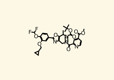 COC(=O)c1ccnc(C(=O)NCc2nc(-c3ccc(OC(F)F)c(OCC4CC4)c3)oc2C(C)NC(=O)OC(C)(C)C)c1